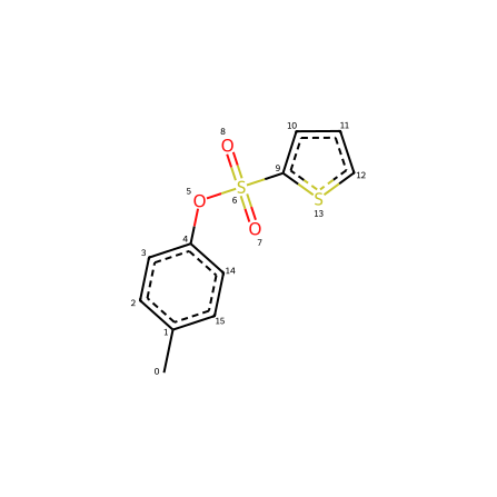 Cc1ccc(OS(=O)(=O)c2cccs2)cc1